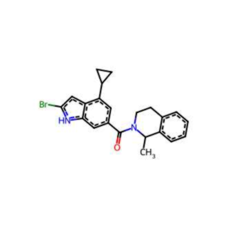 CC1c2ccccc2CCN1C(=O)c1cc(C2CC2)c2cc(Br)[nH]c2c1